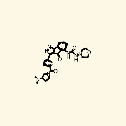 CN(C)[C@H]1CCN(C(=O)c2ccc(C3=C4C(=O)c5c(NC(=O)NN6CCOCC6)cccc5C4N=N3)s2)C1